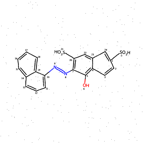 O=S(=O)(O)c1ccc2c(O)c(N=Nc3cccc4ccccc34)c(S(=O)(=O)O)cc2c1